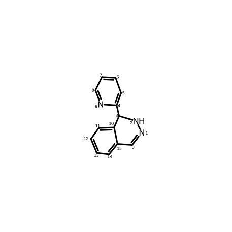 C1=NNC(c2ccccn2)c2ccccc21